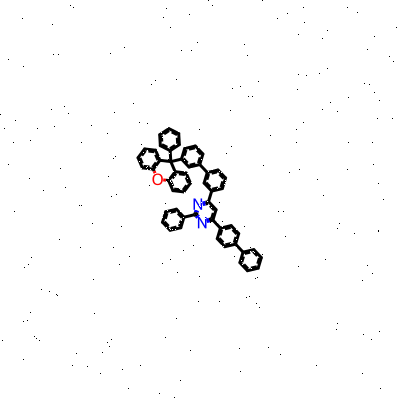 c1ccc(-c2ccc(-c3cc(-c4cccc(-c5cccc(C6(c7ccccc7)c7ccccc7Oc7ccccc76)c5)c4)nc(-c4ccccc4)n3)cc2)cc1